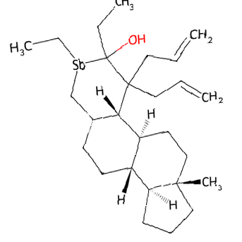 C=CCC1(CC=C)[C@H]2C(CC[C@@H]3[C@@H]2CC[C@]2(C)CCC[C@@H]32)[CH2][Sb]([CH2]C)[C]1(O)CC